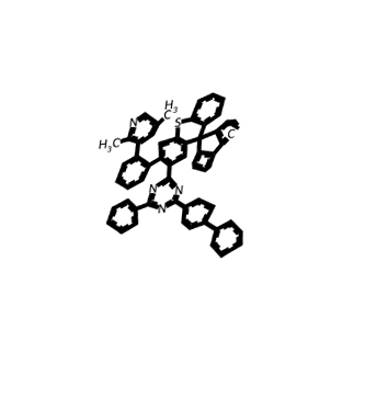 Cc1cnc(C)c(-c2ccccc2-c2cc3c(cc2-c2nc(-c4ccccc4)nc(-c4ccc(-c5ccccc5)cc4)n2)C2(c4ccccc4S3)c3ccccc3-c3ccccc32)c1